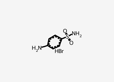 Br.Nc1ccc(S(N)(=O)=O)cc1